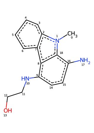 Cn1c2ccccc2c2c(NCCO)ccc(N)c21